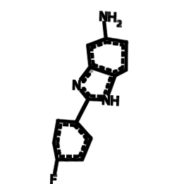 Nc1ccc2[nH]c(-c3ccc(F)cc3)nc2c1